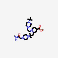 CNC(=O)CN1CCN(C(C)(C)CC2CC(C(=O)OC)CCN2CCN2CCN(C(C)(C)C)CC2)CC1